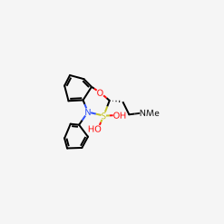 CNCC[C@H]1Oc2ccccc2N(c2ccccc2)S1(O)O